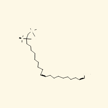 CCCCCC/C=C\CCCCCCC/C=C\CCCCCCCCC(O)(C[N+](C)(C)C)P(=O)(O)O